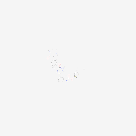 CN1CCN(C)C(c2ccc(Nc3nc(-c4cccc(NC(=O)Oc5cc6c(s5)CCCC6)c4F)cn(C)c3=O)cc2)C1=O